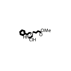 COC(=O)CCCN1CCNC(c2ccccc2)C1.Cl